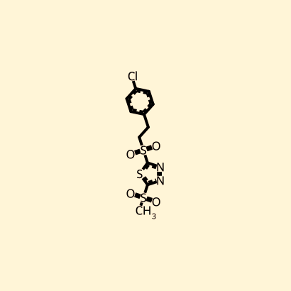 CS(=O)(=O)c1nnc(S(=O)(=O)CCc2ccc(Cl)cc2)s1